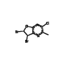 Cc1nc2c(cc1Cl)OC(Br)C2Br